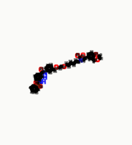 CC1(C)OCc2cc([C@@H]3CN(CCCCCCOCCOCc4cccc(NC(=O)c5cccc(NS(=O)(=O)c6ccccc6)c5)c4)C(=O)O3)ccc2O1